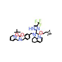 CC(C)(C)OC(=O)N(Cc1ccc(CN(C(COCC[Si](C)(C)C)c2nc(C(F)(F)F)c[nH]2)C2CCCc3cccnc32)cc1)Cc1ccccn1